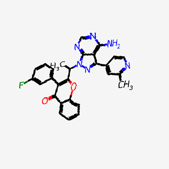 Cc1cc(-c2nn(C(C)c3oc4ccccc4c(=O)c3-c3cccc(F)c3)c3ncnc(N)c23)ccn1